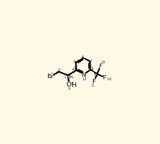 O[C@@H](CBr)c1cccc(C(F)(F)F)n1